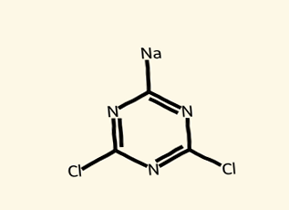 [Na][c]1nc(Cl)nc(Cl)n1